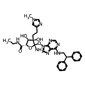 CCNC(=O)[C@H]1O[C@@](N)(On2cnc3c(NCC(c4ccccc4)c4ccccc4)ncnc32)[C@@](O)(CCc2cn(C)cn2)[C@@H]1O